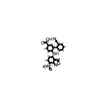 N#Cc1ccccc1-c1cc(C(=O)O)ccc1Nc1ccc([N+](=O)[O-])c2nonc12